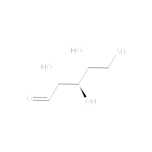 O=C[C@H](O)[C@H](O)[C@H](O)CS